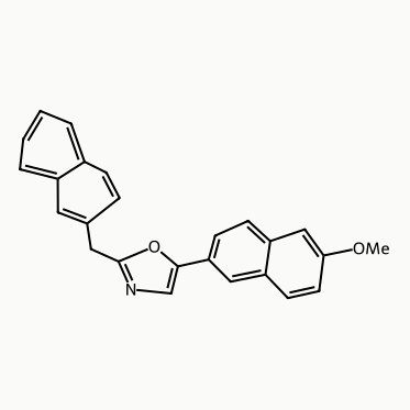 COc1ccc2cc(-c3cnc(Cc4ccc5ccccc5c4)o3)ccc2c1